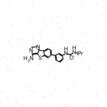 CC(C)NC(=O)Nc1cccc(-c2ccc3c(c2)sc2c(N)ncnc23)c1